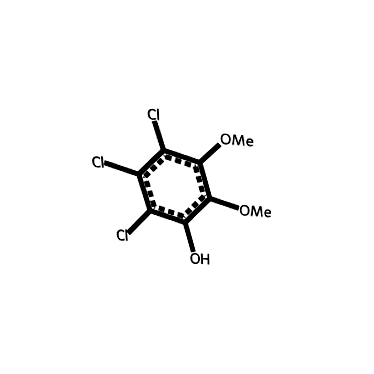 COc1c(O)c(Cl)c(Cl)c(Cl)c1OC